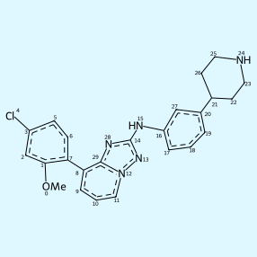 COc1cc(Cl)ccc1-c1cccn2nc(Nc3cccc(C4CCNCC4)c3)nc12